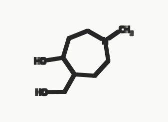 CN1CCC(O)C(CO)CC1